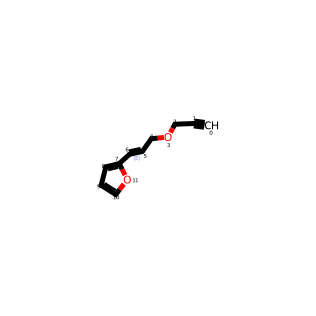 C#CCOC/C=C/c1ccco1